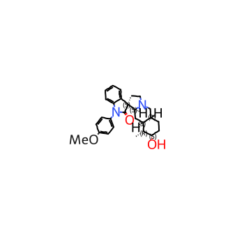 COc1ccc(N2C(=O)[C@@]3(CCN4C[C@@H]5CC[C@H](O)[C@H](C)[C@H]5C[C@H]43)c3ccccc32)cc1